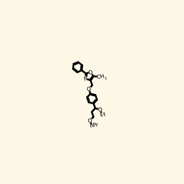 CCCOCCC(OCC)c1ccc(OCc2nc(-c3ccccc3)oc2C)cc1